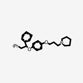 C[C](C)CC(Oc1ccc(OCCCN2CCCCC2)cc1)c1ccccc1